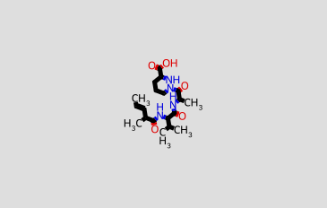 C/C=C/C(C)C(=O)NC(C(=O)NC(C)C(=O)N1CCCC(C(=O)O)N1)C(C)C